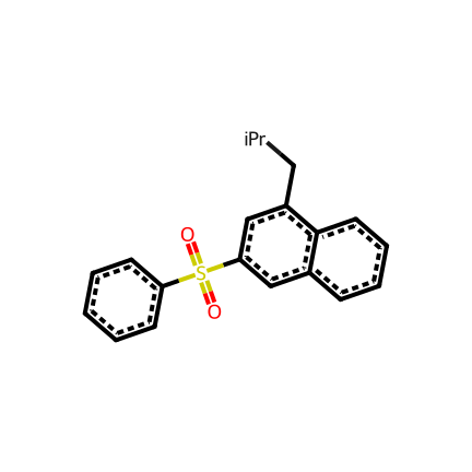 CC(C)Cc1cc(S(=O)(=O)c2ccccc2)cc2ccccc12